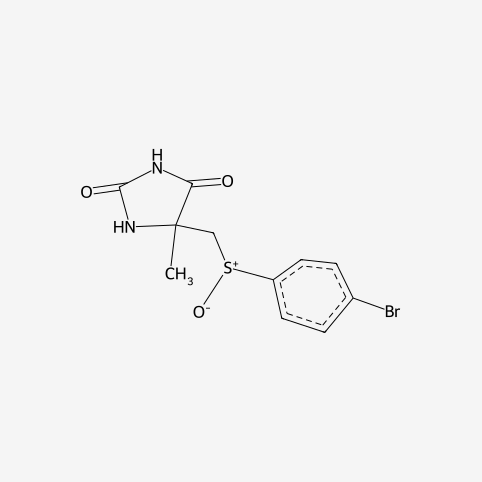 CC1(C[S+]([O-])c2ccc(Br)cc2)NC(=O)NC1=O